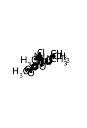 COC(=O)c1ccc(-n2c(=O)n([C@H]3CCCN(CC(C)(C)C)C3)c3nc(Cl)nc(C)c32)cc1